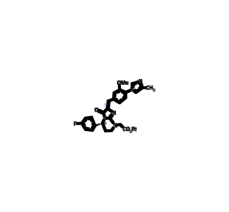 CCOC(=O)CN1CC[C@H](c2ccc(F)cc2)N2C(=O)/C(=C/c3ccc(-n4cnc(C)c4)c(OC)c3)N=C12